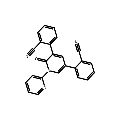 N#Cc1ccccc1-c1cc(-c2ccccc2C#N)c(=O)n(-c2ccccn2)c1